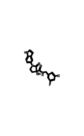 O=C(NCc1cc(F)cc(Cl)c1)[C@]1(O)CCN(c2ccc3[nH]ccc3c2)C1=O